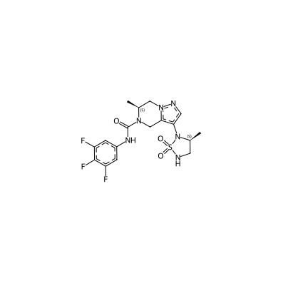 C[C@H]1Cn2ncc(N3[C@@H](C)CNS3(=O)=O)c2CN1C(=O)Nc1cc(F)c(F)c(F)c1